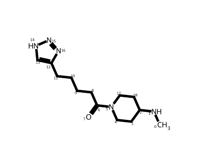 CNC1CCN(C(=O)CCCCc2c[nH]nn2)CC1